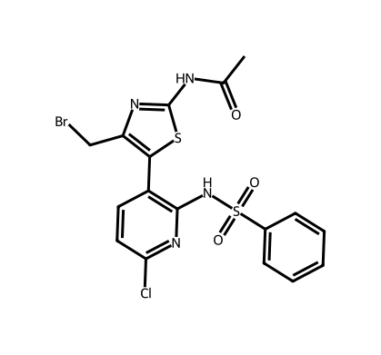 CC(=O)Nc1nc(CBr)c(-c2ccc(Cl)nc2NS(=O)(=O)c2ccccc2)s1